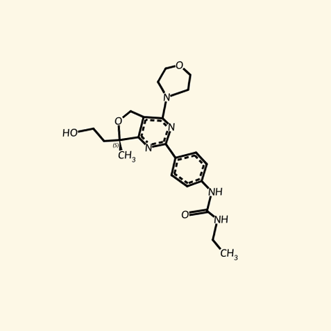 CCNC(=O)Nc1ccc(-c2nc(N3CCOCC3)c3c(n2)[C@](C)(CCO)OC3)cc1